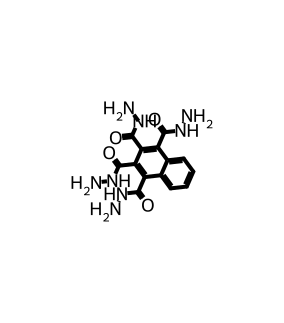 NNC(=O)c1c(C(=O)NN)c(C(=O)NN)c2ccccc2c1C(=O)NN